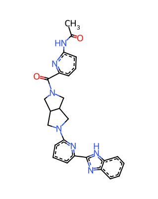 CC(=O)Nc1cccc(C(=O)N2CC3CN(c4cccc(-c5nc6ccccc6[nH]5)n4)CC3C2)n1